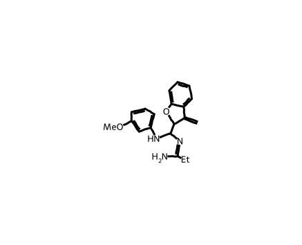 C=C1c2ccccc2OC1C(/N=C(\N)CC)Nc1cccc(OC)c1